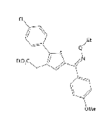 CCO/N=C(/c1ccc(OC)cc1)c1cc(CC(=O)OCC)c(-c2ccc(Cl)cc2)s1